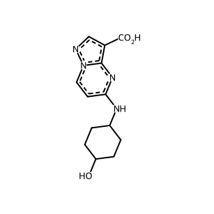 O=C(O)c1cnn2ccc(NC3CCC(O)CC3)nc12